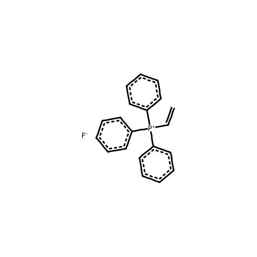 C=C[P+](c1ccccc1)(c1ccccc1)c1ccccc1.[F-]